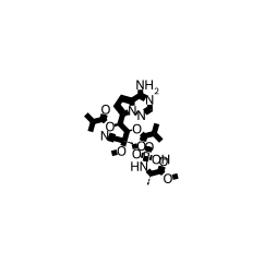 COC(=O)[C@H](C)NP(=O)(O)OC[C@@](C#N)(OC)[C@@H](OC(=O)C(C)C)[C@@H](OC(=O)C(C)C)c1ccc2c(N)ncnn12